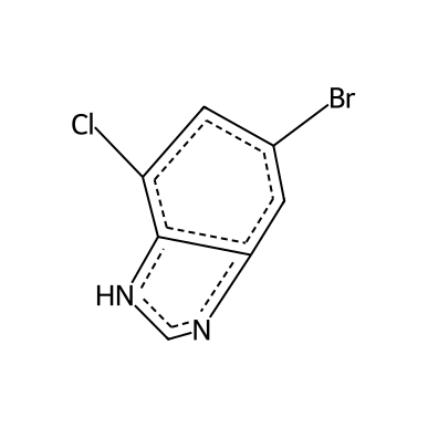 Clc1cc(Br)cc2nc[nH]c12